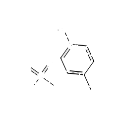 CCC[n+]1ccc(C)cc1.CS(=O)(=O)[O-]